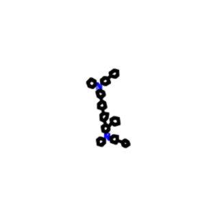 c1ccc(-c2ccc(N(c3ccccc3)c3ccc(-c4ccc(-c5ccc(-c6ccc(N(c7ccccc7)c7ccc(-c8ccccc8)cc7)cc6-c6ccccc6)cc5)cc4)cc3)cc2)cc1